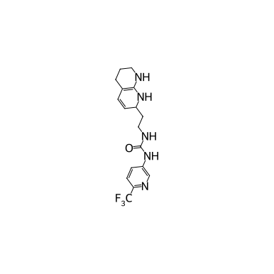 O=C(NCCC1C=CC2=C(NCCC2)N1)Nc1ccc(C(F)(F)F)nc1